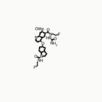 COc1cc2nccc(Oc3ccc4c(ccn4C(=O)NCCF)c3)c2cc1C(=O)N(CCF)NC(N)=O